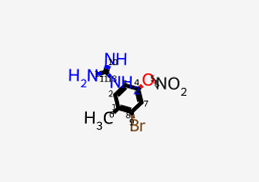 Cc1ccc(O[N+](=O)[O-])cc1Br.N=C(N)N